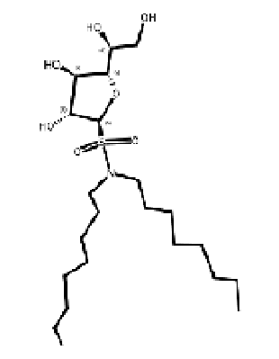 CCCCCCCCN(CCCCCCCC)S(=O)(=O)[C@@H]1O[C@@H]([C@@H](O)CO)[C@H](O)[C@H]1O